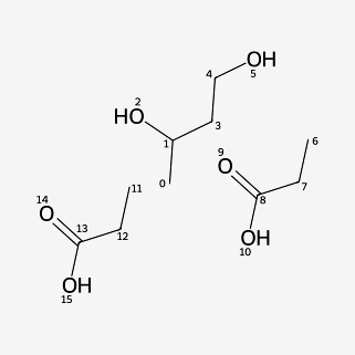 CC(O)CCO.CCC(=O)O.CCC(=O)O